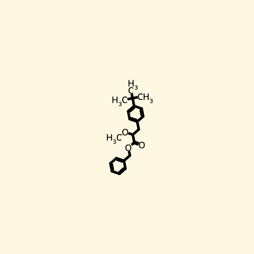 COC(Cc1ccc(C(C)(C)C)cc1)C(=O)OCc1ccccc1